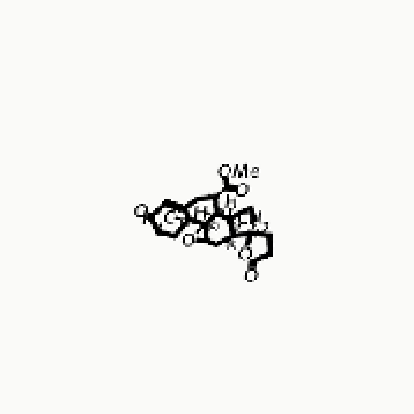 COC(=O)[C@@H]1CC2=CC(=O)CC[C@]2(C)[C@@]23OC2C[C@@]2(C)[C@@H](CC[C@@]24CCC(=O)O4)[C@H]13